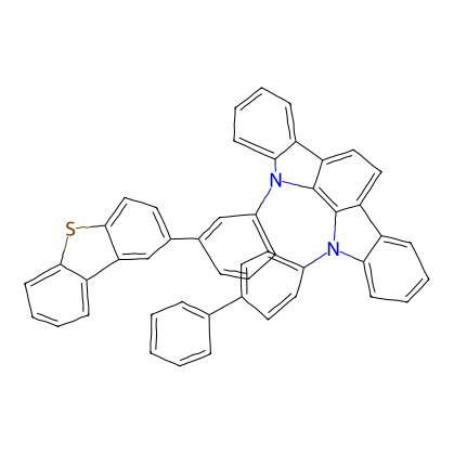 c1ccc(-c2ccc(-n3c4ccccc4c4ccc5c6ccccc6n(-c6cccc(-c7ccc8sc9ccccc9c8c7)c6)c5c43)cc2)cc1